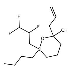 C=CCC1(O)CCC[Si](CCCC)(CC(F)C(F)F)O1